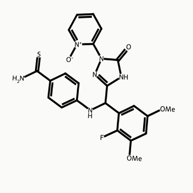 COc1cc(OC)c(F)c(C(Nc2ccc(C(N)=S)cc2)c2nn(-c3cccc[n+]3[O-])c(=O)[nH]2)c1